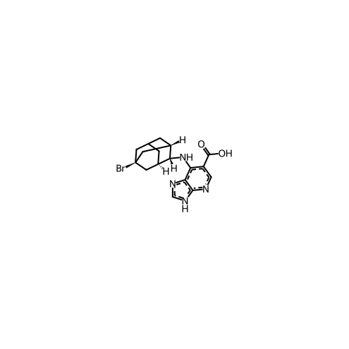 O=C(O)c1cnc2[nH]cnc2c1N[C@@H]1[C@@H]2CC3C[C@H]1C[C@@](Br)(C3)C2